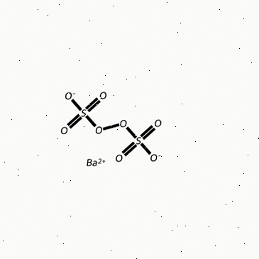 O=S(=O)([O-])OOS(=O)(=O)[O-].[Ba+2]